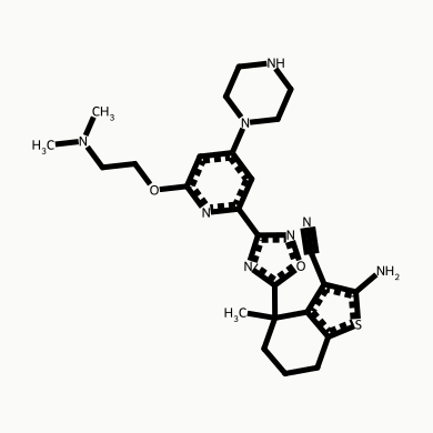 CN(C)CCOc1cc(N2CCNCC2)cc(-c2noc(C3(C)CCCc4sc(N)c(C#N)c43)n2)n1